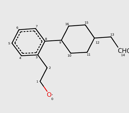 [O]CCc1ccccc1C1CCC(CC=O)CC1